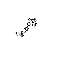 Cn1ccnc1NCc1ccc(-c2ccc([C@H](O)[C@@H](CF)NC(=O)C(F)F)cc2)cn1